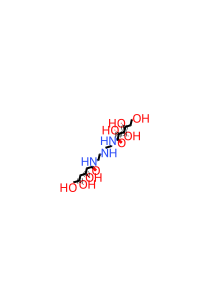 O=C(C[C@@H](O)C[C@H](O)CO)NCCNCCNC(=O)[C@H](O)[C@@H](O)[C@H](O)CCO